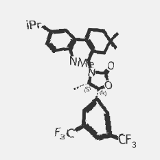 CNc1ccc(C(C)C)cc1C1=C(CN2C(=O)O[C@H](c3cc(C(F)(F)F)cc(C(F)(F)F)c3)[C@@H]2C)CC(C)(C)CC1